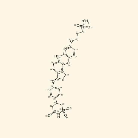 Cc1nc(OCCCS(C)(=O)=O)ccc1Oc1cccc2c1CC[C@H]2Oc1ccc(C2CC(=O)NS(=O)(=O)C2)cc1